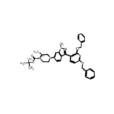 C[C@H]1CN(c2ccc3c(-c4ccc(OCc5ccccc5)nc4OCc4ccccc4)nn(C)c3c2)CCN1C(=O)OC(C)(C)C